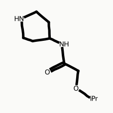 CC(C)OCC(=O)NC1CCNCC1